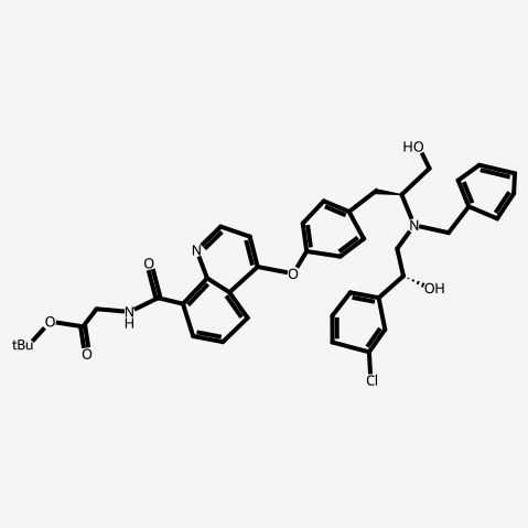 CC(C)(C)OC(=O)CNC(=O)c1cccc2c(Oc3ccc(C[C@@H](CO)N(Cc4ccccc4)C[C@H](O)c4cccc(Cl)c4)cc3)ccnc12